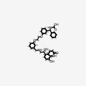 O=C(O)NC(c1ccccc1)c1cccc(OCCOc2cccc(CNC[C@@H](O)c3ccc(O)c4[nH]c(=O)ccc34)c2)c1